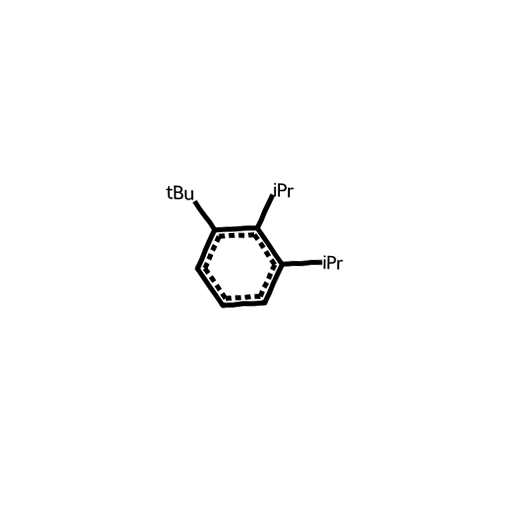 CC(C)c1cccc(C(C)(C)C)c1C(C)C